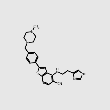 CN1CCN(Cc2ccc(-c3cc4c(NCCc5c[nH]cn5)c(C#N)cnc4s3)cc2)CC1